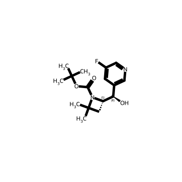 CC(C)(C)OC(=O)N1[C@H]([C@H](O)c2cncc(F)c2)CC1(C)C